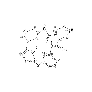 Cc1cncn1Cc1cccc(NC(=O)C2CNCCN2C(=O)OC2CCCCC2)c1